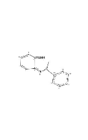 CC(/N=C1/C=CC=CC1=N)c1ccccc1